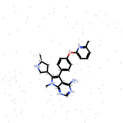 Cc1cccc(Oc2ccc(-c3c(C4CN[C@@H](C)C4)n(C)c4ncnc(N)c34)cc2)n1